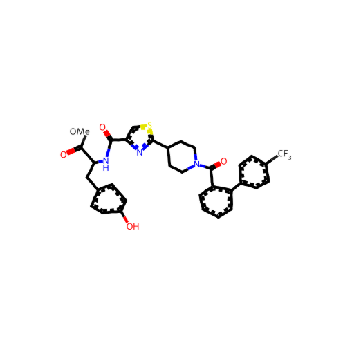 COC(=O)C(Cc1ccc(O)cc1)NC(=O)c1csc(C2CCN(C(=O)c3ccccc3-c3ccc(C(F)(F)F)cc3)CC2)n1